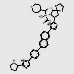 CC(C1CCOCC1)[N+](O)(C(=O)[O-])N1CC2(CC1c1ncc(-c3ccc4cc(-c5ccc(-c6cnc(C7CCCN7)[nH]6)cc5)ccc4c3)[nH]1)OCCO2